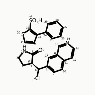 O=C1NCC[C@@H]1C(Cl)c1ccc2ccncc2c1.O=S(=O)(O)c1sccc1-c1ccccc1